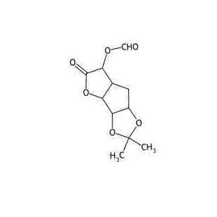 CC1(C)OC2CC3C(OC=O)C(=O)OC3C2O1